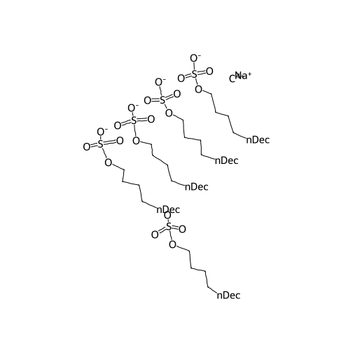 CCCCCCCCCCCCCCOS(=O)(=O)[O-].CCCCCCCCCCCCCCOS(=O)(=O)[O-].CCCCCCCCCCCCCCOS(=O)(=O)[O-].CCCCCCCCCCCCCCOS(=O)(=O)[O-].CCCCCCCCCCCCCCOS(=O)(=O)[O-].[C+4].[Na+]